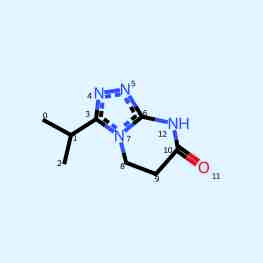 CC(C)c1nnc2n1CCC(=O)N2